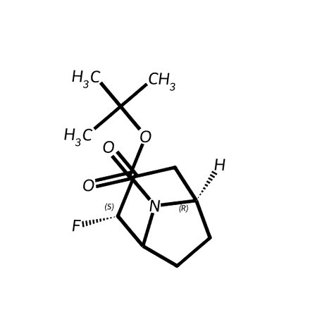 CC(C)(C)OC(=O)N1C2CC[C@@H]1CC(=O)[C@H]2F